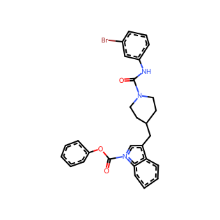 O=C(Nc1cccc(Br)c1)N1CCC(Cc2cn(C(=O)Oc3ccccc3)c3ccccc23)CC1